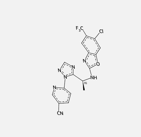 C[C@H](Nc1nc2cc(C(F)(F)F)c(Cl)cc2o1)c1ncnn1-c1ccc(C#N)cn1